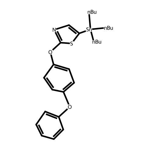 CCC[CH2][Sn]([CH2]CCC)([CH2]CCC)[c]1cnc(Oc2ccc(Oc3ccccc3)cc2)s1